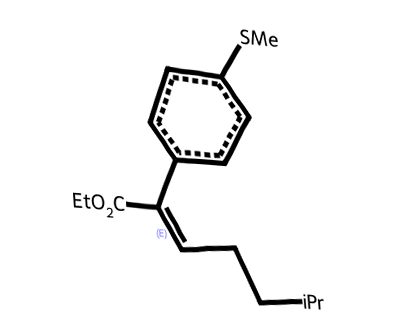 CCOC(=O)/C(=C/CCC(C)C)c1ccc(SC)cc1